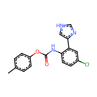 Cc1ccc(OC(=O)Nc2ccc(Cl)cc2-c2c[nH]cn2)cc1